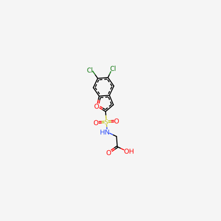 O=C(O)CNS(=O)(=O)c1cc2cc(Cl)c(Cl)cc2o1